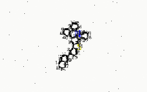 c1ccc(-c2cc3c4cc(-c5ccc6ccccc6c5)ccc4sc3c3c4ccccc4n(-c4ccccc4)c23)cc1